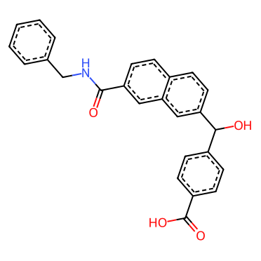 O=C(O)c1ccc(C(O)c2ccc3ccc(C(=O)NCc4ccccc4)cc3c2)cc1